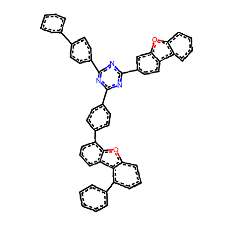 c1ccc(-c2ccc(-c3nc(-c4ccc(-c5cccc6c5oc5cccc(-c7ccccc7)c56)cc4)nc(-c4ccc5c(c4)oc4ccccc45)n3)cc2)cc1